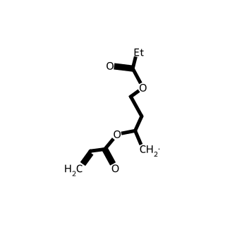 [CH2]C(CCOC(=O)CC)OC(=O)C=C